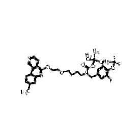 Cc1ccc2c(c1)nc(OCCOCCCCN(Cc1cc(F)c(OC(F)(F)F)c(F)c1)C(=O)OC(C)(C)C)c1ccncc12